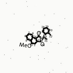 COc1cc2c(c3ccccc13)C(=O)N(N(C)c1ccccc1C)C2=O